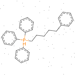 c1ccc(CCCCC[PH](c2ccccc2)(c2ccccc2)c2ccccc2)cc1